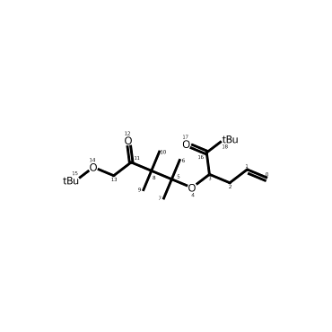 C=CCC(OC(C)(C)C(C)(C)C(=O)COC(C)(C)C)C(=O)C(C)(C)C